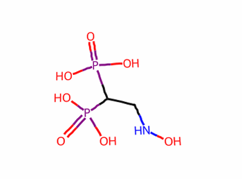 O=P(O)(O)C(CNO)P(=O)(O)O